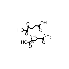 NC(=O)CC[C@H](N)C(=O)O.O=C(O)CCC(=O)C(=O)O